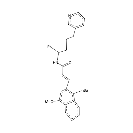 CCCCc1c(/C=C/C(=O)NC(CC)CCCc2cccnc2)cc(OC)c2ccccc12